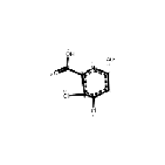 O=C(O)c1nccc(Cl)c1Cl.[Au]